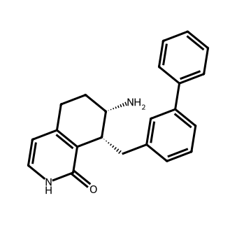 N[C@H]1CCc2cc[nH]c(=O)c2[C@H]1Cc1cccc(-c2ccccc2)c1